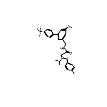 COc1cc(CNC(=O)CN(Sc2ccc(F)cc2)C(C)C)cc(-c2ccc(C(F)(F)F)cc2)c1